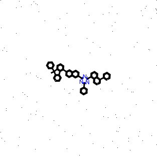 CC1(c2ccccc2)c2ccccc2-c2c(-c3ccc4cc(-c5nc(-c6ccccc6)nc(-c6cccc7c(-c8ccccc8)cccc67)n5)ccc4c3)cccc21